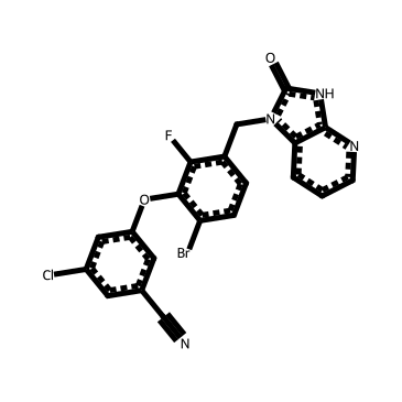 N#Cc1cc(Cl)cc(Oc2c(Br)ccc(Cn3c(=O)[nH]c4ncccc43)c2F)c1